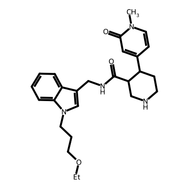 CCOCCCn1cc(CNC(=O)C2CNCCC2c2ccn(C)c(=O)c2)c2ccccc21